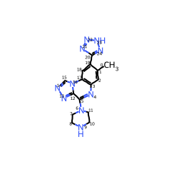 Cc1cc2nc(N3CCNCC3)c3nncn3c2cc1-c1nn[nH]n1